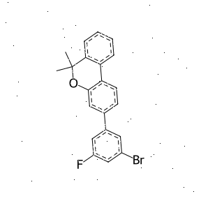 CC1(C)Oc2cc(-c3cc(F)cc(Br)c3)ccc2-c2ccccc21